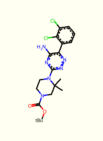 CC(C)(C)OC(=O)N1CCN(c2nnc(-c3cccc(Cl)c3Cl)c(N)n2)C(C)(C)C1